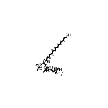 CCCCCCCCCCCCCCCC(=O)O[C@H](COC(C)=O)COP(=O)(O)OCC[N+](C)(C)C